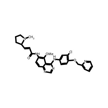 COc1c(NC(=O)C=CC2CCCN2C)ccc2ncnc(Nc3ccc(OCc4ccccn4)c(Cl)c3)c12